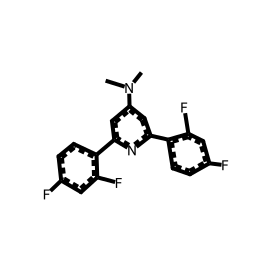 CN(C)c1cc(-c2ccc(F)cc2F)nc(-c2ccc(F)cc2F)c1